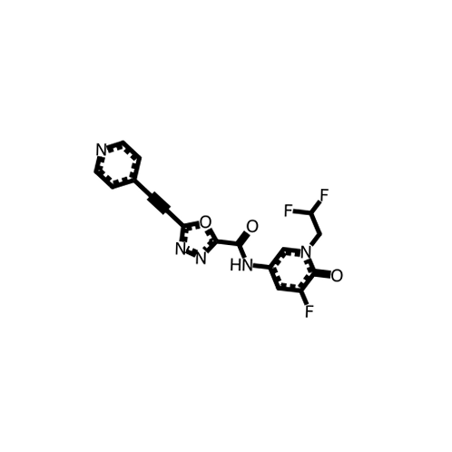 O=C(Nc1cc(F)c(=O)n(CC(F)F)c1)c1nnc(C#Cc2ccncc2)o1